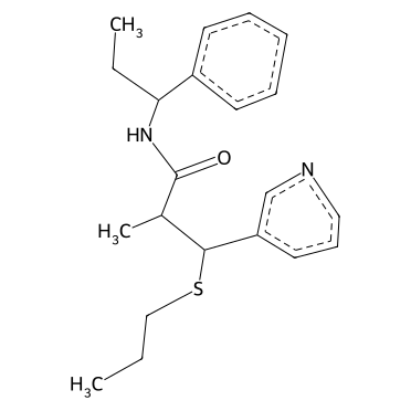 CCCSC(c1cccnc1)C(C)C(=O)NC(CC)c1ccccc1